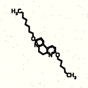 CCCCCCCCOc1ccc2c(n1)CCc1nc(OCCCCCC)ccc1-2